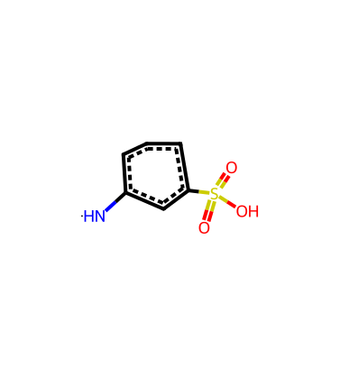 [NH]c1cccc(S(=O)(=O)O)c1